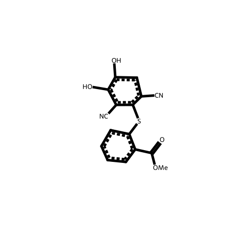 COC(=O)c1ccccc1Sc1c(C#N)cc(O)c(O)c1C#N